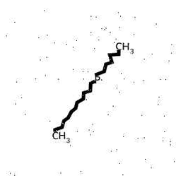 CCCCCCCCCCCC[P]CCCCCCC